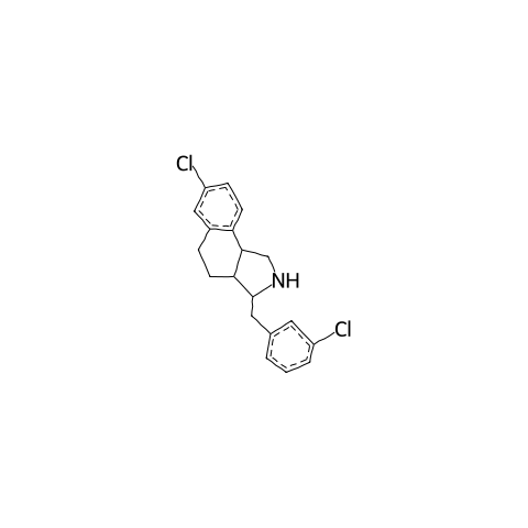 Clc1cccc(CC2NCC3c4ccc(Cl)cc4CCC23)c1